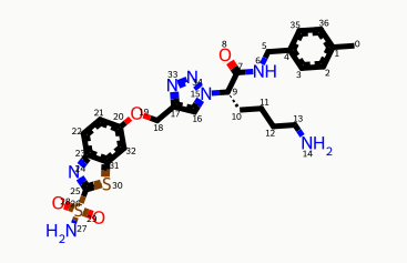 Cc1ccc(CNC(=O)[C@H](CCCCN)n2cc(COc3ccc4nc(S(N)(=O)=O)sc4c3)nn2)cc1